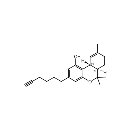 C#CCCCCc1cc(O)c2c(c1)OC(C)(C)[C@@H]1CCC(C)=C[C@@H]21